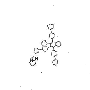 c1ccc(-c2ccc(-c3c4c(c(-c5ccc(-c6ccccc6)cc5)c5ccccc35)-c3ccc(-c5cccc(-c6cn7ccccc7n6)c5)c5cccc-4c35)cc2)cc1